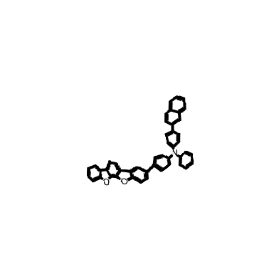 c1ccc(N(c2ccc(-c3ccc4ccccc4c3)cc2)c2ccc(-c3ccc4oc5c(ccc6c7ccccc7oc65)c4c3)cc2)cc1